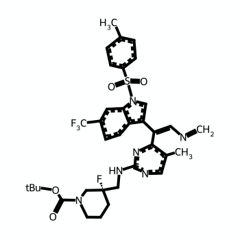 C=N/C=C(\c1nc(NC[C@@]2(F)CCCN(C(=O)OC(C)(C)C)C2)ncc1C)c1cn(S(=O)(=O)c2ccc(C)cc2)c2cc(C(F)(F)F)ccc12